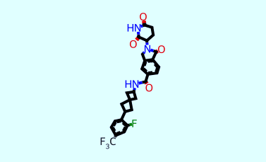 O=C1CCC(N2Cc3cc(C(=O)NC4CC5(C4)CC(c4ccc(C(F)(F)F)cc4F)C5)ccc3C2=O)C(=O)N1